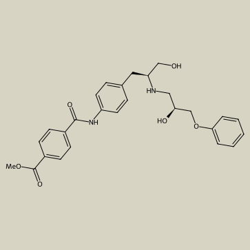 COC(=O)c1ccc(C(=O)Nc2ccc(C[C@@H](CO)NC[C@H](O)COc3ccccc3)cc2)cc1